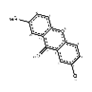 COc1ccc2oc3ccc(Cl)cc3c(=O)c2c1